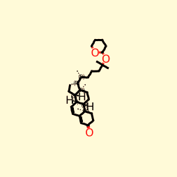 C[C@H](CCCC(C)(C)OC1CCCCO1)[C@H]1CC[C@H]2[C@@H]3C=CC4=CC(=O)CC[C@]4(C)[C@H]3CC[C@]12C